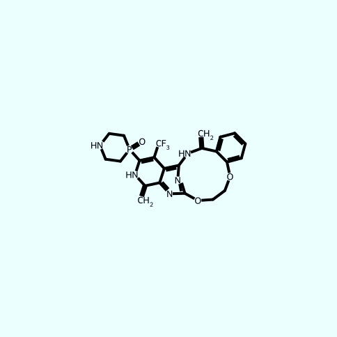 C=C1Nc2nc(nc3c2C(C(F)(F)F)=C(P2(=O)CCNCC2)NC3=C)OCCOc2ccccc21